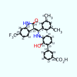 Cc1cc(C)cc(C(Nc2cccc(-c3cccc(C(=O)O)c3)c2O)=C2C(=O)Nc3cc(C(F)(F)F)ccc32)c1